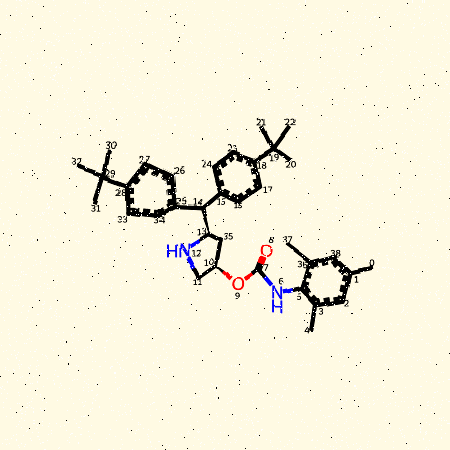 Cc1cc(C)c(NC(=O)O[C@H]2CN[C@@H](C(c3ccc(C(C)(C)C)cc3)c3ccc(C(C)(C)C)cc3)C2)c(C)c1